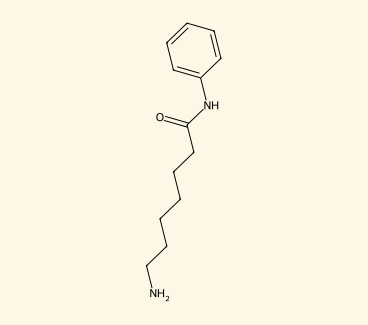 NCCCCCCC(=O)Nc1ccccc1